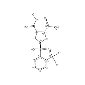 CCC(=O)N1C[C@H](S(=O)(=O)c2ccccc2C(F)(F)F)C[C@H]1C(=O)O